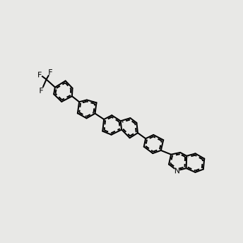 FC(F)(F)c1ccc(-c2ccc(-c3ccc4cc(-c5ccc(-c6cnc7ccccc7c6)cc5)ccc4c3)cc2)cc1